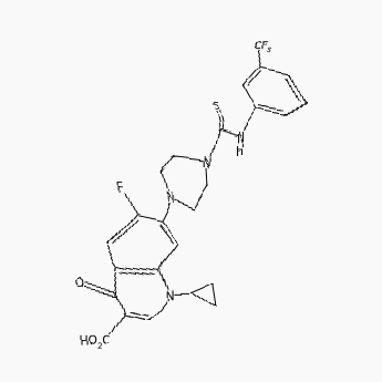 O=C(O)c1cn(C2CC2)c2cc(N3CCN(C(=S)Nc4cccc(C(F)(F)F)c4)CC3)c(F)cc2c1=O